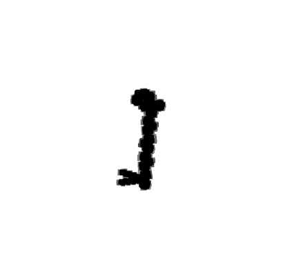 CCCCCCCCC1(CCCCCCCC)c2ccccc2-c2ccc(-c3ccc4c(c3)C(C)(C)c3cc(-c5ccc6c(c5)C(C)(C)c5cc(-c7ccc8c(c7)C(C)(C)c7cc(-c9ccc(N(c%10ccccc%10)c%10cc%11c(c%12ccccc%10%12)-c%10c(ccc%12oc%13ccccc%13c%10%12)C%11(C)C)cc9)ccc7-8)ccc5-6)ccc3-4)cc21